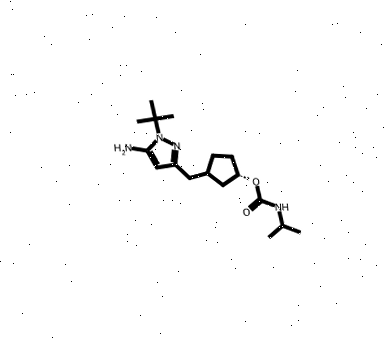 CC(C)NC(=O)O[C@H]1CCC(Cc2cc(N)n(C(C)(C)C)n2)C1